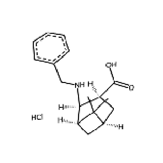 CC1(C)[C@H]2C[C@H](C(=O)O)[C@H](NCc3ccccc3)[C@@H]1C2.Cl